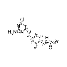 Cc1cc(COc2cc(Cl)nc(N)n2)ccc1CNC(=O)C(C)C